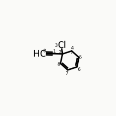 C#CC1(Cl)[CH]C=CC=C1